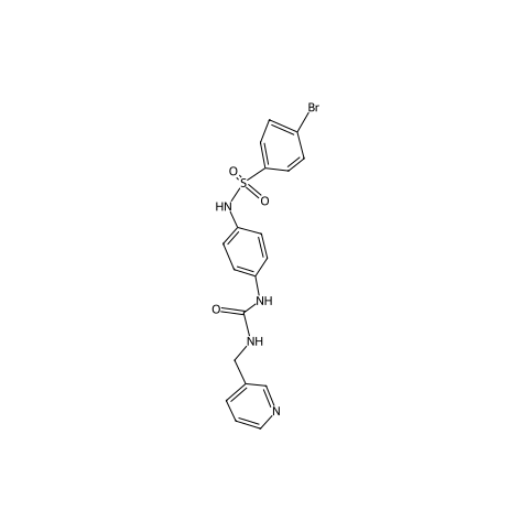 O=C(NCc1cccnc1)Nc1ccc(NS(=O)(=O)c2ccc(Br)cc2)cc1